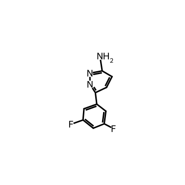 Nc1ccc(-c2cc(F)cc(F)c2)nn1